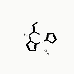 C/C=C(\C)[SiH2]C1C=CC=[C]1[Ti+2][C]1=CC=CC1.[Cl-].[Cl-]